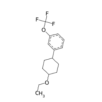 CCOC1CCC(c2cccc(OC(F)(F)F)c2)CC1